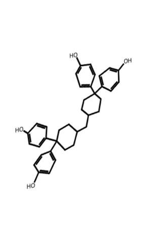 Oc1ccc(C2(c3ccc(O)cc3)CCC(CC3CCC(c4ccc(O)cc4)(c4ccc(O)cc4)CC3)CC2)cc1